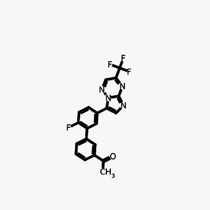 CC(=O)c1cccc(-c2cc(-c3cnc4nc(C(F)(F)F)cnn34)ccc2F)c1